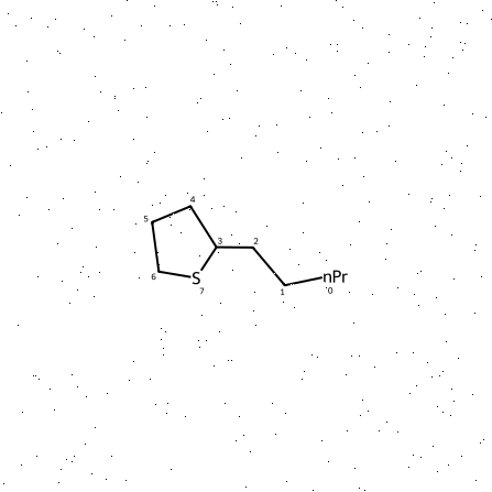 CCCCCC1CCCS1